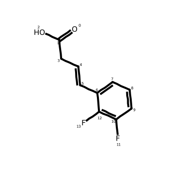 O=C(O)C/C=C/c1cccc(F)c1F